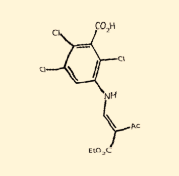 CCOC(=O)C(=CNc1cc(Cl)c(Cl)c(C(=O)O)c1Cl)C(C)=O